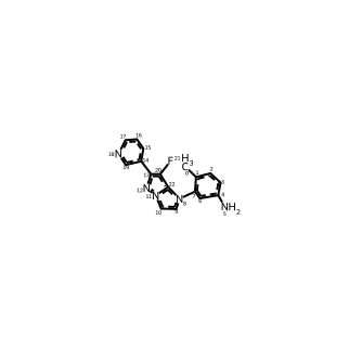 Cc1ccc(N)cc1-n1ccn2nc(-c3cccnc3)c(F)c12